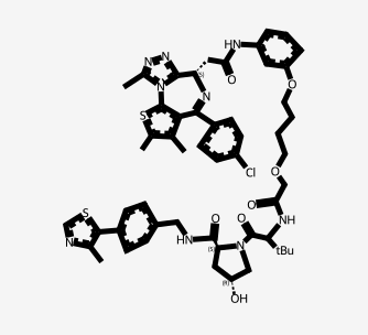 Cc1ncsc1-c1ccc(CNC(=O)[C@@H]2C[C@@H](O)CN2C(=O)C(NC(=O)COCCCCOc2cccc(NC(=O)C[C@@H]3N=C(c4ccc(Cl)cc4)c4c(sc(C)c4C)-n4c(C)nnc43)c2)C(C)(C)C)cc1